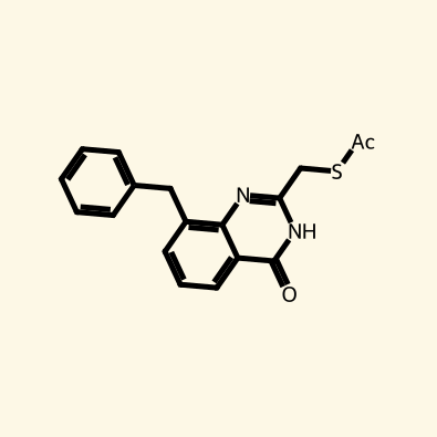 CC(=O)SCc1nc2c(Cc3ccccc3)cccc2c(=O)[nH]1